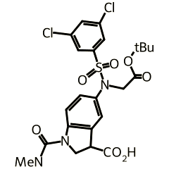 CNC(=O)N1CC(C(=O)O)c2cc(N(CC(=O)OC(C)(C)C)S(=O)(=O)c3cc(Cl)cc(Cl)c3)ccc21